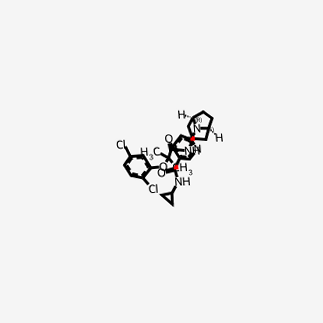 CC(C)(Oc1cc(Cl)ccc1Cl)C(=O)N[C@H]1C[C@H]2CC[C@@H](C1)N2c1ccc(C(=O)NC2CC2)cn1